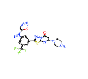 NCC(=O)Nc1cc(-c2nn3c(=O)cc(N4CCNCC4)nc3s2)cc(C(F)(F)F)c1